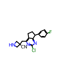 N#CC1(Cc2nc(Cl)nc3c2CCC3c2ccc(F)cc2)CNC1